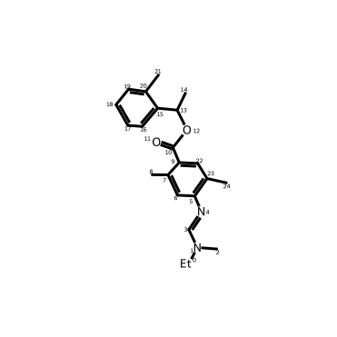 CCN(C)/C=N/c1cc(C)c(C(=O)OC(C)c2ccccc2C)cc1C